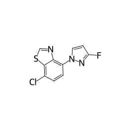 Fc1ccn(-c2ccc(Cl)c3scnc23)n1